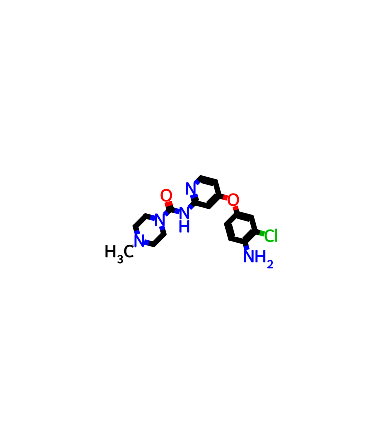 CN1CCN(C(=O)Nc2cc(Oc3ccc(N)c(Cl)c3)ccn2)CC1